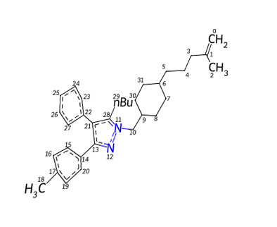 C=C(C)CCCC1CCC(Cn2nc(-c3ccc(C)cc3)c(-c3ccccc3)c2CCCC)CC1